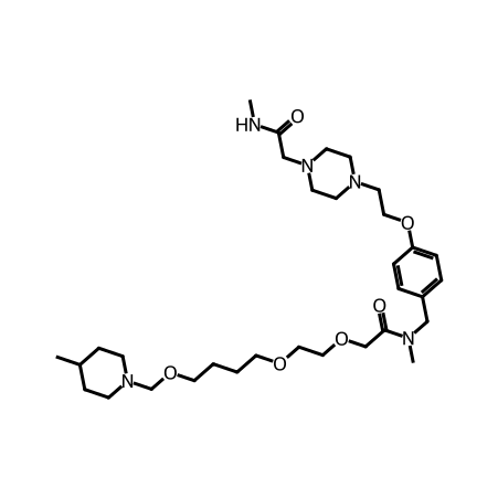 CNC(=O)CN1CCN(CCOc2ccc(CN(C)C(=O)COCCOCCCCOCN3CCC(C)CC3)cc2)CC1